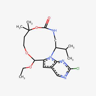 CCOC1OCCC(C)(C)OC(=O)NCC(C(C)C)n2c1cc1cnc(Cl)nc12